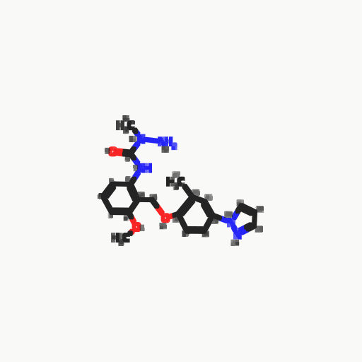 COc1cccc(NC(=O)N(C)N)c1COc1ccc(-n2cccn2)cc1C